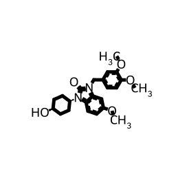 COc1ccc2c(c1)n(Cc1ccc(OC)c(OC)c1)c(=O)n2[C@H]1CC[C@H](O)CC1